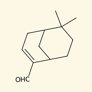 CC1(C)CCC2CC1CC=C2C=O